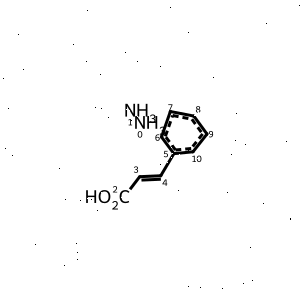 N.N.O=C(O)C=Cc1ccccc1